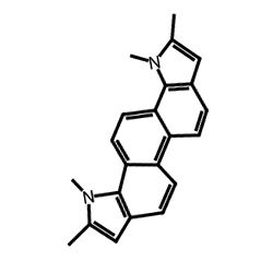 Cc1cc2ccc3c4ccc5cc(C)n(C)c5c4ccc3c2n1C